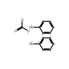 O=C(Cl)Cl.Oc1ccccc1.Oc1ccccc1